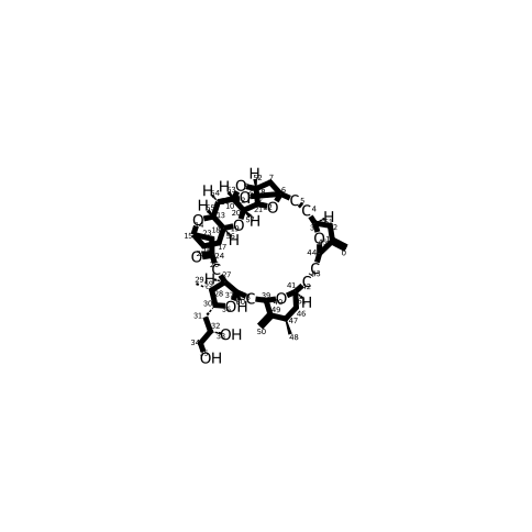 C=C1C[C@@H]2CCC34C[C@H]5O[C@H]6[C@@H](O3)[C@H]3OC(CC[C@@H]3O[C@H]6[C@H]5O4)CC(=O)C[C@@H]3[C@@H](C)[C@@H](C[C@H](O)CO)O[C@H]3CC3O[C@@H](CCC1O2)C[C@@H](C)C3=C